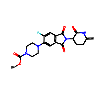 C=C1CCC(N2C(=O)c3cc(F)c(N4CCN(C(=O)OC(C)(C)C)CC4)cc3C2=O)C(=O)N1